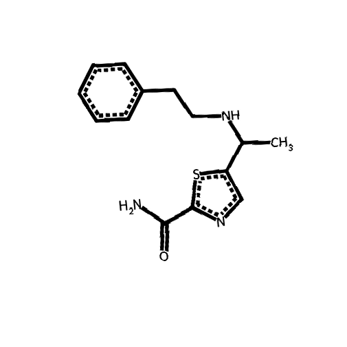 CC(NCCc1ccccc1)c1cnc(C(N)=O)s1